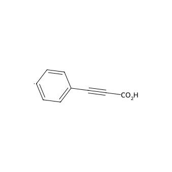 O=C(O)C#Cc1cc[c]cc1